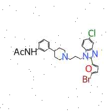 CC(=O)Nc1cccc(C2CCN(CCCn3c(-c4ccc(Br)o4)nc4cc(Cl)ccc43)CC2)c1